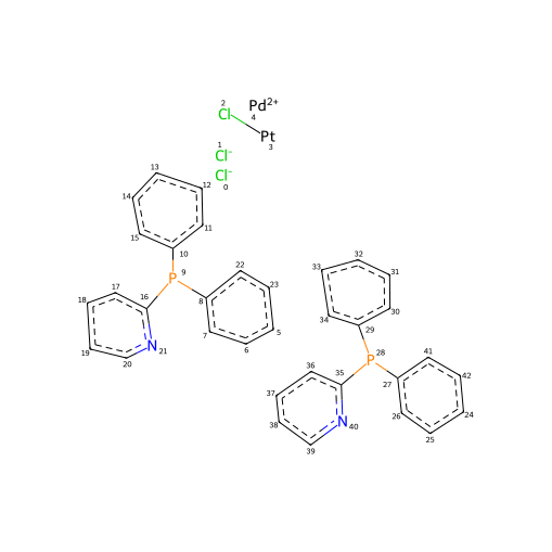 [Cl-].[Cl-].[Cl][Pt].[Pd+2].c1ccc(P(c2ccccc2)c2ccccn2)cc1.c1ccc(P(c2ccccc2)c2ccccn2)cc1